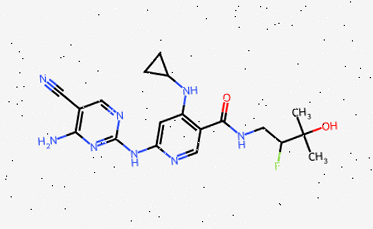 CC(C)(O)C(F)CNC(=O)c1cnc(Nc2ncc(C#N)c(N)n2)cc1NC1CC1